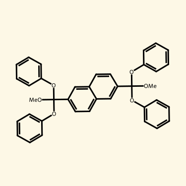 COC(Oc1ccccc1)(Oc1ccccc1)c1ccc2cc(C(OC)(Oc3ccccc3)Oc3ccccc3)ccc2c1